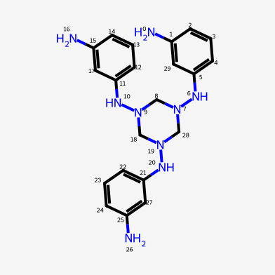 Nc1cccc(NN2CN(Nc3cccc(N)c3)CN(Nc3cccc(N)c3)C2)c1